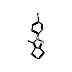 Cc1c2ccccc2nn1-c1ccc(F)cc1